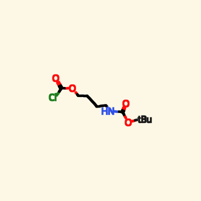 CC(C)(C)OC(=O)NCCCCOC(=O)Cl